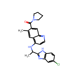 Cc1cc2c(NC(C)c3nc4cc(Cl)ccc4[nH]3)ccnc2cc1C(=O)N1CCCC1